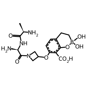 C[C@@H](N)C(=O)N[C@H](N)C(=O)N1CC(Oc2ccc3c(c2C(=O)O)O[B-](O)(O)CC3)C1